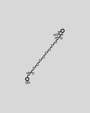 O=C(CCOCCOCCOCCOCCOCCOCCOCCOCCNC(=O)c1nc2ccccc2nc1O)NCCc1ccc(O)cc1